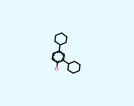 [O]c1ccc(C2CCCCC2)cc1C1CCCCC1